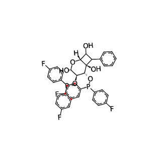 OC1C(c2ccccc2)[C@@]2(O)[C@@H]1O[C@@H](O)[C@H](OP(c1ccc(F)cc1)c1ccc(F)cc1)[C@H]2OP(c1ccc(F)cc1)c1ccc(F)cc1